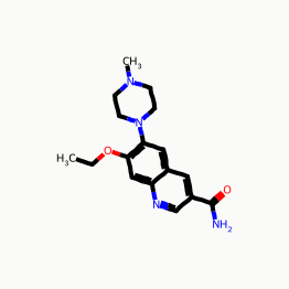 CCOc1cc2ncc(C(N)=O)cc2cc1N1CCN(C)CC1